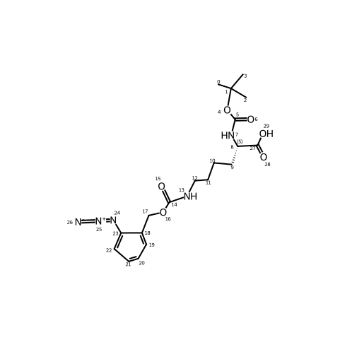 CC(C)(C)OC(=O)N[C@@H](CCCCNC(=O)OCc1ccccc1N=[N+]=[N-])C(=O)O